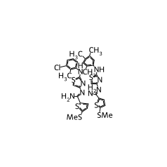 CSc1ccc(C(N)=Nc2csc(Nc3cc(C)c(C)cc3C)n2)s1.CSc1ccc(C(N)=Nc2csc(Nc3cccc(Cl)c3C)n2)s1